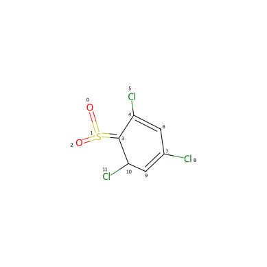 O=S(=O)=C1C(Cl)=CC(Cl)=CC1Cl